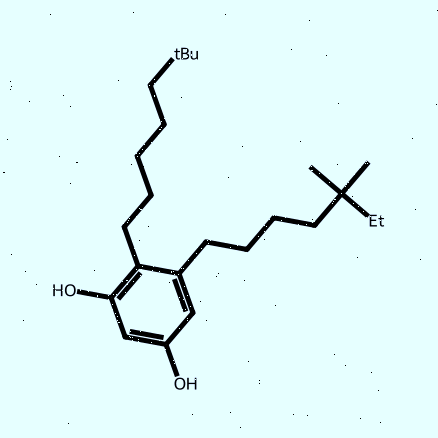 CCC(C)(C)CCCCc1cc(O)cc(O)c1CCCCCC(C)(C)C